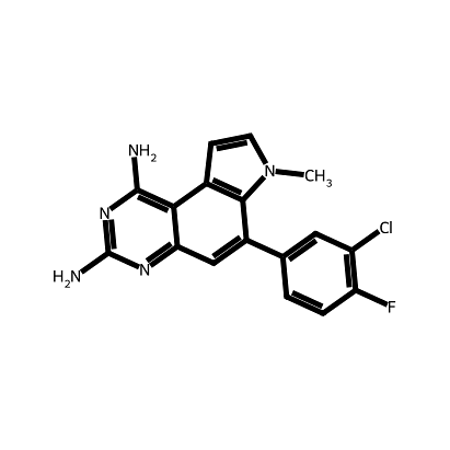 Cn1ccc2c3c(N)nc(N)nc3cc(-c3ccc(F)c(Cl)c3)c21